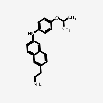 CC(C)Oc1ccc(Nc2ccc3cc(CCN)ccc3c2)cc1